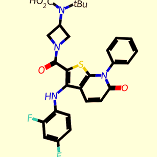 CC(C)(C)N(C(=O)O)C1CN(C(=O)c2sc3c(ccc(=O)n3-c3ccccc3)c2Nc2ccc(F)cc2F)C1